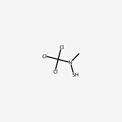 CN(S)C(Cl)(Cl)Cl